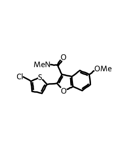 CNC(=O)c1c(-c2ccc(Cl)s2)oc2ccc(OC)cc12